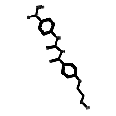 CCOCCOc1ccc(C(=O)NC(=S)Nc2ccc([S+]([O-])NC)cc2)cc1